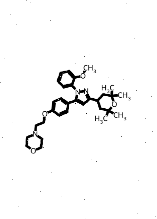 COc1ccccc1-n1nc(C2CC(C)(C)OC(C)(C)C2)cc1-c1ccc(OCCN2CCOCC2)cc1